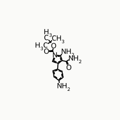 CC(C)(C)OC(=O)n1cc(-c2ccc(N)cc2)c(C(N)=O)c1N